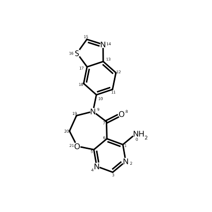 Nc1ncnc2c1C(=O)N(c1ccc3ncsc3c1)CCO2